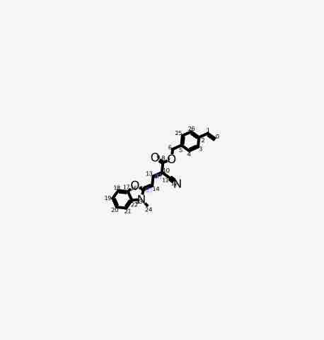 C=Cc1ccc(COC(=O)/C(C#N)=C/C=C2\Oc3ccccc3N2C)cc1